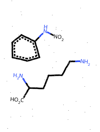 NCCCCC(N)C(=O)O.O=[N+]([O-])Nc1ccccc1